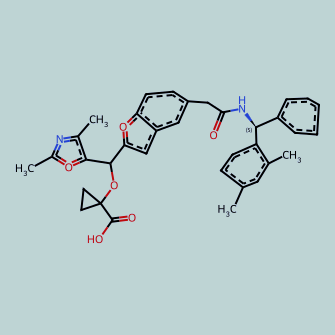 Cc1ccc([C@@H](NC(=O)Cc2ccc3oc(C(OC4(C(=O)O)CC4)c4oc(C)nc4C)cc3c2)c2ccccc2)c(C)c1